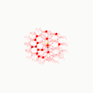 BB(B)B(B(B)B)B(B(B(B)B)B(B)B)B(B(B(B)B)B(B)B)B(B(B(B(B)B)B(B)B)B(B(B)B)B(B)B)P(=S)(I)B(B(B(B(B(B)B)B(B)B)B(B(B)B)B(B)B)B(B(B(B)B)B(B)B)B(B(B)B)B(B)B)B(B(B(B(B)B)B(B)B)B(B(B)B)B(B)B)B(B(B(B)B)B(B)B)B(B(B)B)B(B)B